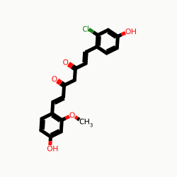 COc1cc(O)ccc1C=CC(=O)CC(=O)C=Cc1ccc(O)cc1Cl